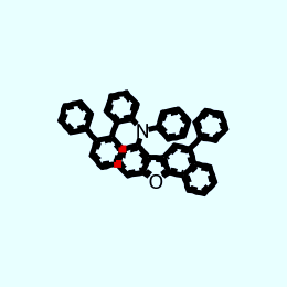 c1ccc(-c2ccccc2-c2ccccc2N(c2ccccc2)c2cccc3oc4c5ccccc5c(-c5ccccc5)cc4c23)cc1